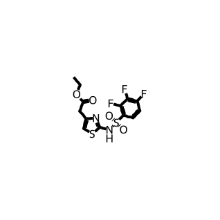 CCOC(=O)Cc1csc(NS(=O)(=O)c2ccc(F)c(F)c2F)n1